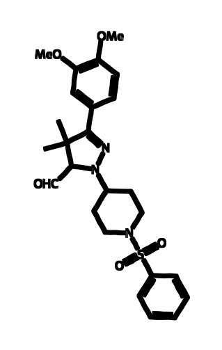 COc1ccc(C2=NN(C3CCN(S(=O)(=O)c4ccccc4)CC3)C(C=O)C2(C)C)cc1OC